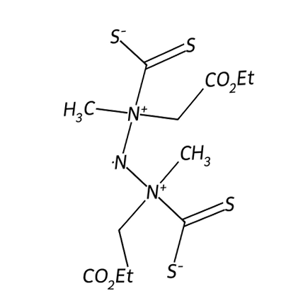 CCOC(=O)C[N+](C)([N][N+](C)(CC(=O)OCC)C(=S)[S-])C(=S)[S-]